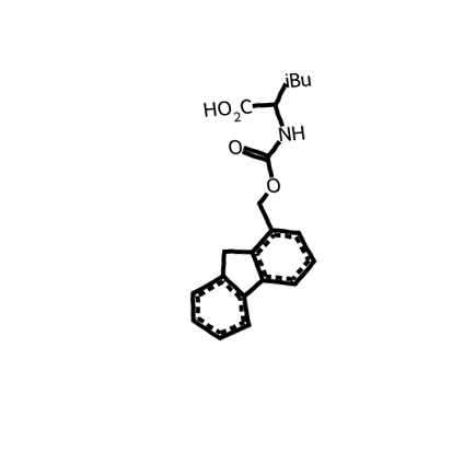 CCC(C)C(NC(=O)OCc1cccc2c1Cc1ccccc1-2)C(=O)O